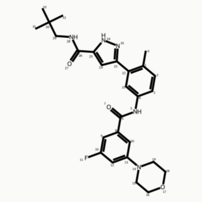 Cc1ccc(NC(=O)c2cc(F)cc(N3CCOCC3)c2)cc1-c1cc(C(=O)NCC(C)(C)C)[nH]n1